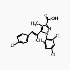 C/C(=C\c1ccc(Cl)cc1)c1c(C)c(C(=O)O)nn1-c1ccc(Cl)cc1Cl